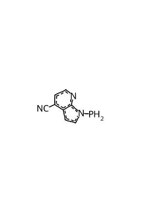 N#Cc1ccnc2c1ccn2P